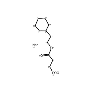 O=C([O-])CCC(=O)OCCC1CCCCC1.[Na+]